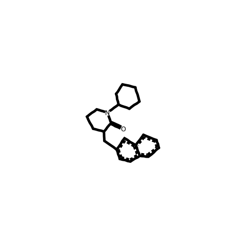 O=C1C(Cc2ccc3ccccc3c2)CCCN1C1CCCCC1